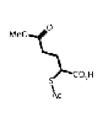 COC(=O)CCC(SC(C)=O)C(=O)O